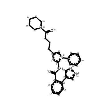 O=C(Nc1nc(CCCC(=O)N2CCCCC2)cn1-c1ccccc1)c1ccccc1-c1cn[nH]c1